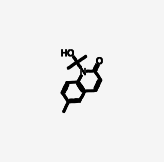 Cc1ccc2c(ccc(=O)n2C(C)(C)O)c1